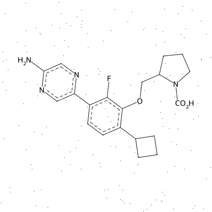 Nc1cnc(-c2ccc(C3CCC3)c(OCC3CCCN3C(=O)O)c2F)cn1